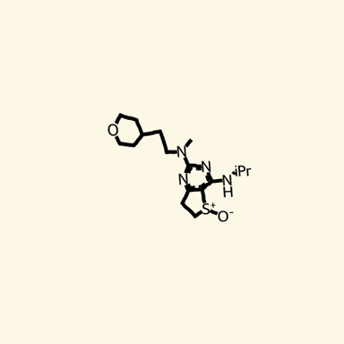 CC(C)Nc1nc(N(C)CCC2CCOCC2)nc2c1[S+]([O-])CC2